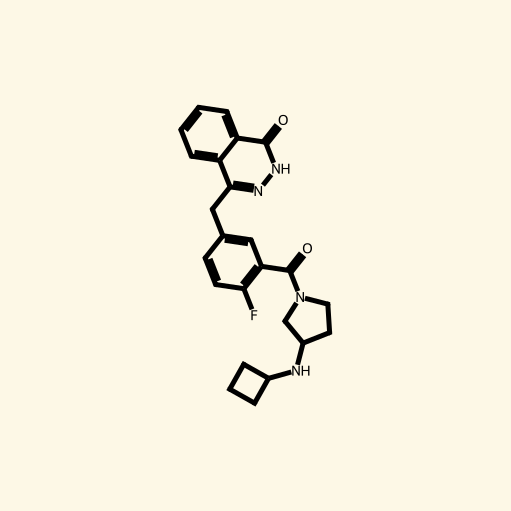 O=C(c1cc(Cc2n[nH]c(=O)c3ccccc23)ccc1F)N1CCC(NC2CCC2)C1